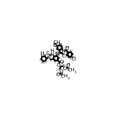 CCN(Cc1cc(C(=O)OC(COC(C)=O)COC(C)=O)cc(Br)c1N)C1CCCCC1.COc1ccc2c(c1)cc(C)n2C(=O)c1ccc(Cl)cc1